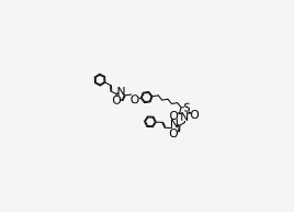 O=C1SC(CCCCCc2ccc(OCc3coc(C=Cc4ccccc4)n3)cc2)C(=O)N1Cc1coc(C=Cc2ccccc2)n1